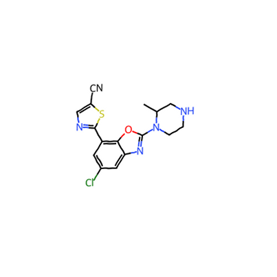 CC1CNCCN1c1nc2cc(Cl)cc(-c3ncc(C#N)s3)c2o1